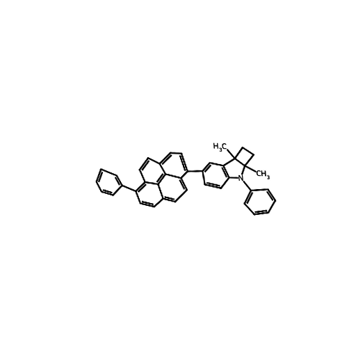 CC12CCC1(C)N(c1ccccc1)c1ccc(-c3ccc4ccc5c(-c6ccccc6)ccc6ccc3c4c65)cc12